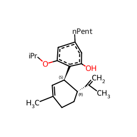 C=C(C)[C@@H]1CCC(C)=C[C@H]1c1c(O)cc(CCCCC)cc1OC(C)C